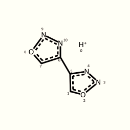 [H+].c1onnc1-c1conn1